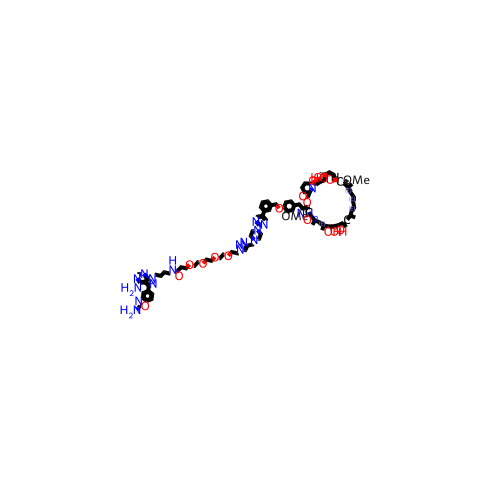 COC1C[C@@H]2CC[C@@H](C)[C@@](O)(O2)C(=O)C(=O)N2CCCCC2C(=O)O[C@H]([C@H](N)CC2CCC(OCc3cccc(-c4cnc(N5CCN(Cc6cn(CCOCCOCCOCCOCCC(=O)NCCCCn7nc(-c8ccc9oc(N)nc9c8)c8c(N)ncnc87)nn6)CC5)nc4)c3)[C@H](OC)C2)CC(=O)C(C)/C=C(\C)C(O)[C@@H](O)C(=O)C(C)CC(C)/C=C/C=C/C=C/1C